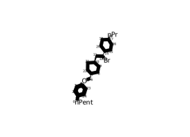 CCCCCc1ccc(OC[C@H]2CC[C@H](CC(Br)[C@H]3CC[C@H](CCC)CC3)CC2)cc1